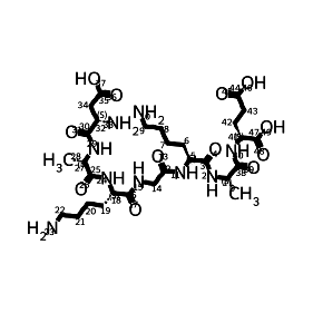 C[C@H](NC(=O)[C@H](CCCCN)NC(=O)CNC(=O)[C@H](CCCCN)NC(=O)[C@H](C)NC(=O)[C@@H](N)CC(=O)O)C(=O)N[C@@H](CCC(=O)O)C(=O)O